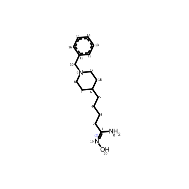 N/C(CCCCC1CCN(Cc2ccccc2)CC1)=N\O